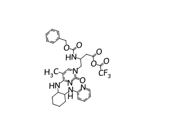 Cc1cn(CC(CC(=O)OC(=O)C(F)(F)F)NC(=O)OCc2ccccc2)c(=O)nc1NC1CCCCC1Nc1ccccn1